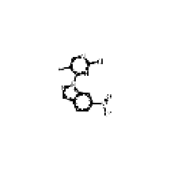 O=[N+]([O-])c1ccc2cnn(-c3nc(Cl)ncc3F)c2c1